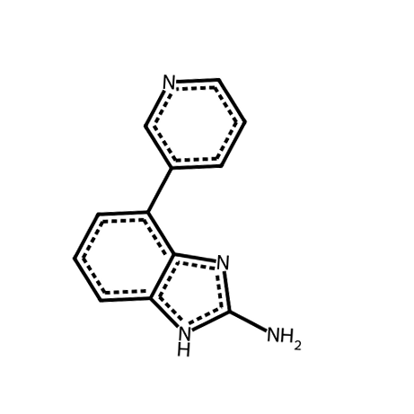 Nc1nc2c(-c3cccnc3)cccc2[nH]1